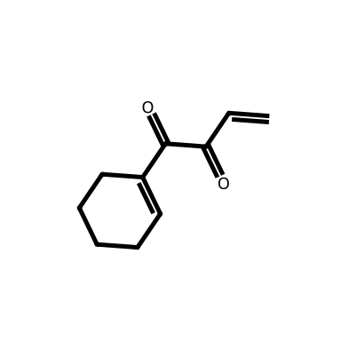 C=CC(=O)C(=O)C1=CCCCC1